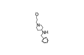 COCCCN1CCC(NCc2ccccc2)CC1